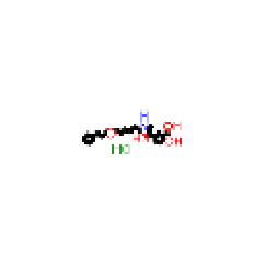 CC(NCCCCCCOCCCc1ccccc1)C(O)c1ccc(O)c(CO)c1.Cl